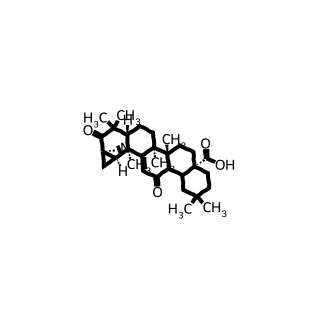 CC1(C)CC[C@]2(C(=O)O)CC[C@]3(C)C(C(=O)C=C4[C@@]5(C)[C@H]6C[C@@]6(C#N)C(=O)C(C)(C)[C@@H]5CC[C@]43C)C2C1